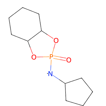 O=P1([N]C2CCCC2)OC2CCCCC2O1